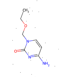 CCOCn1ccc(N)nc1=O